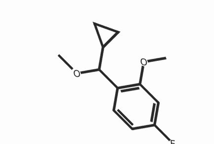 COc1cc(F)ccc1C(OC)C1CC1